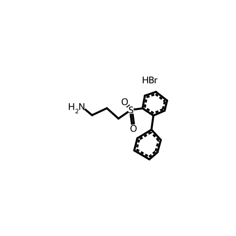 Br.NCCCS(=O)(=O)c1ccccc1-c1ccccc1